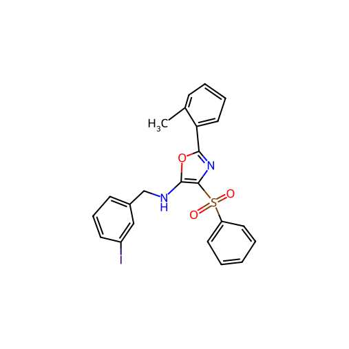 Cc1ccccc1-c1nc(S(=O)(=O)c2ccccc2)c(NCc2cccc(I)c2)o1